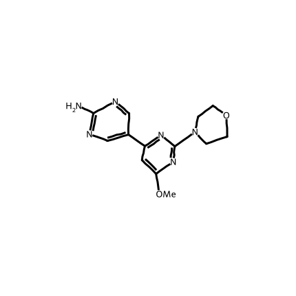 COc1cc(-c2cnc(N)nc2)nc(N2CCOCC2)n1